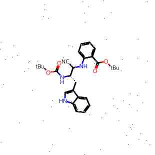 CC(C)(C)OC(=O)N[C@@H](Cc1c[nH]c2ccccc12)C(C#N)Nc1ccccc1C(=O)OC(C)(C)C